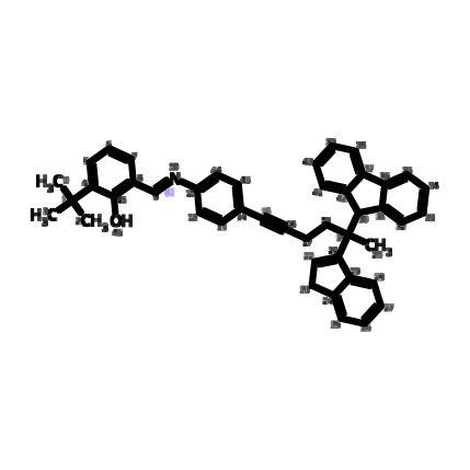 CC(C)(C)c1cccc(/C=N/c2ccc(C#CCCC(C)(C3=CCc4ccccc43)C3c4ccccc4-c4ccccc43)cc2)c1O